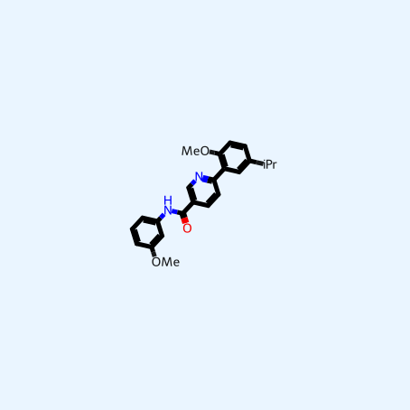 COc1cccc(NC(=O)c2ccc(-c3cc(C(C)C)ccc3OC)nc2)c1